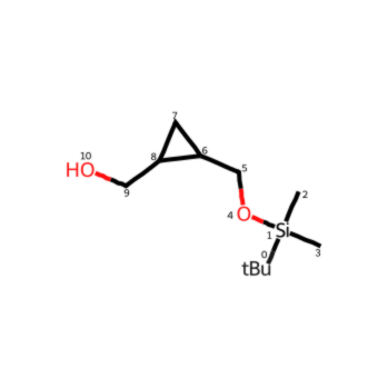 CC(C)(C)[Si](C)(C)OCC1CC1CO